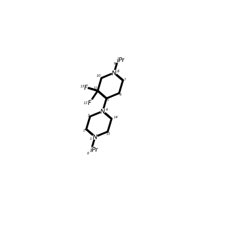 CC(C)N1CCN(C2CCN(C(C)C)CC2(F)F)CC1